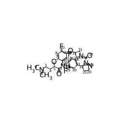 CN(C)CCC1Oc2cc(F)c(OC3CN(C(=O)N4N=CCC4c4cc(F)cc(F)c4)C3)cc2NC1=O